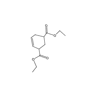 CCOC(=O)C1C=CCC(C(=O)OCC)C1